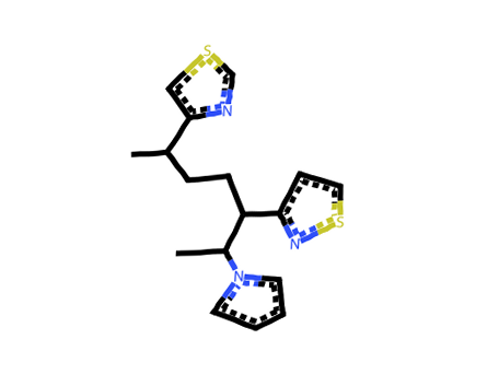 CC(CCC(c1ccsn1)C(C)n1cccc1)c1cscn1